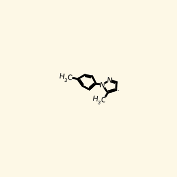 Cc1ccc(-n2nc[c]c2C)cc1